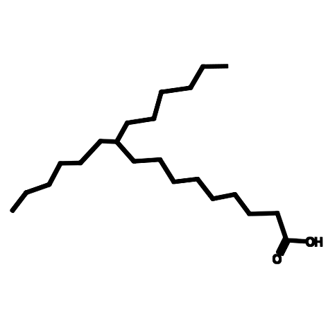 CCCCCCC(CCCCCC)CCCCCCCCC(=O)O